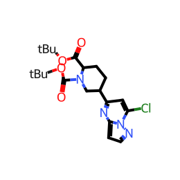 CC(C)(C)OC(=O)C1CCC(c2cc(Cl)n3nccc3n2)CN1C(=O)OC(C)(C)C